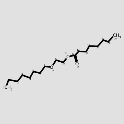 CCCCCCCCOCCOC(=O)CCCCCCC